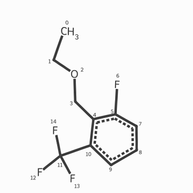 CCOCc1c(F)cccc1C(F)(F)F